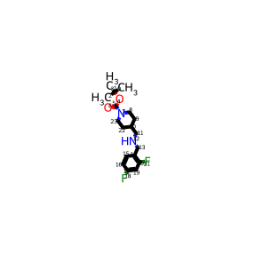 CC(C)(C)OC(=O)N1CCC(CNCc2ccc(F)cc2F)CC1